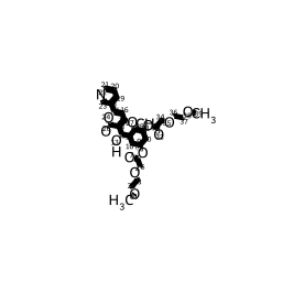 COCCOCC(=O)O[C@@H]1CC2C(O)c3c(cc(-c4cccnc4)oc3=O)O[C@@]2(C)[C@H](OC(=O)COCCOC)C1